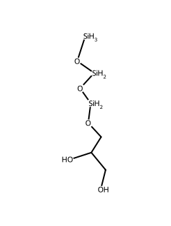 OCC(O)CO[SiH2]O[SiH2]O[SiH3]